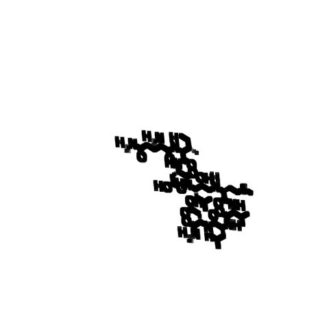 CC[C@H](C)[C@H](NC(=O)[C@@H](N)CCC(N)=O)C(=O)N[C@@H](CC(=O)O)C(=O)N[C@@H](CC(C)C)[C@@H](O)CN[C@@H](CCSC)C(=O)N[C@H](C(=O)N[C@@H](CC(C)C)C(=O)N[C@@H](CC(=O)O)C(N)=O)C(C)C